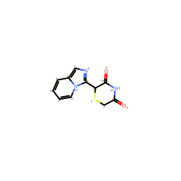 O=C1CSC(c2ncc3ccccn23)C(=O)N1